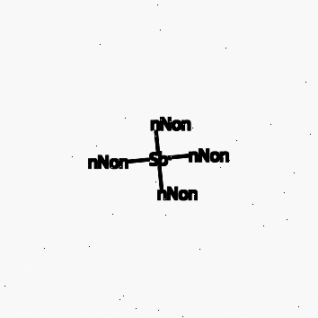 CCCCCCCC[CH2][Sb]([CH2]CCCCCCCC)([CH2]CCCCCCCC)[CH2]CCCCCCCC